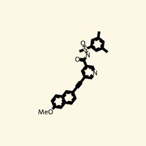 COc1ccc2cc(C#Cc3cncc(C(=O)N=S(C)(=O)c4cc(C)cc(C)c4)c3)ccc2c1